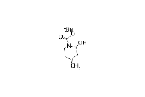 C=C1CCN(C(=O)OC(C)(C)C)C(O)C1